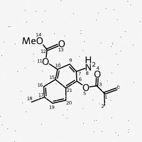 C=C(C)C(=O)Oc1c(N)cc(OC(=O)OC)c2cc(C)ccc12